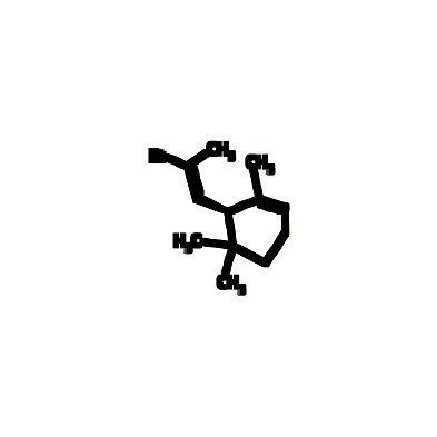 CC/C(C)=C/[C@H]1C(C)=CCCC1(C)C